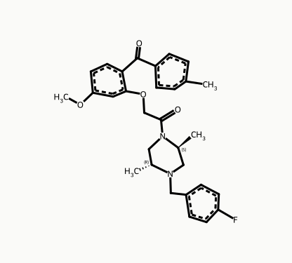 COc1ccc(C(=O)c2ccc(C)cc2)c(OCC(=O)N2C[C@@H](C)N(Cc3ccc(F)cc3)C[C@@H]2C)c1